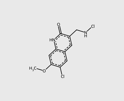 COc1cc2[nH]c(=O)c(CNCl)cc2cc1Cl